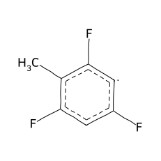 Cc1c(F)[c]c(F)cc1F